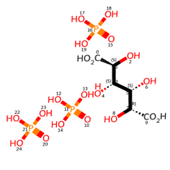 O=C(O)[C@@H](O)[C@@H](O)[C@H](O)[C@@H](O)C(=O)O.O=P(O)(O)O.O=P(O)(O)O.O=P(O)(O)O